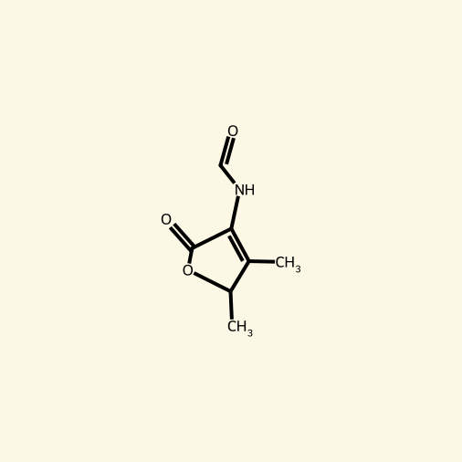 CC1=C(NC=O)C(=O)OC1C